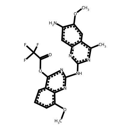 COc1cc2c(C)nc(Nc3nc(OC(=O)C(F)(F)F)c4cccc(OC)c4n3)nc2cc1N